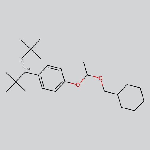 CC(OCC1CCCCC1)Oc1ccc([C@@H](CC(C)(C)C)C(C)(C)C)cc1